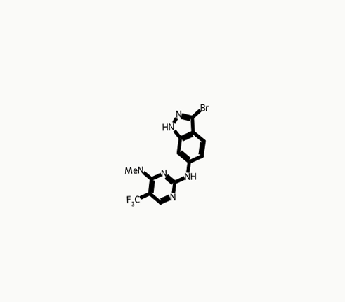 CNc1nc(Nc2ccc3c(Br)n[nH]c3c2)ncc1C(F)(F)F